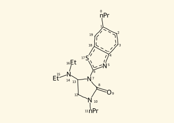 CCCc1ccc2nc(N3C(=O)N(CCC)CC3N(CC)CC)sc2c1